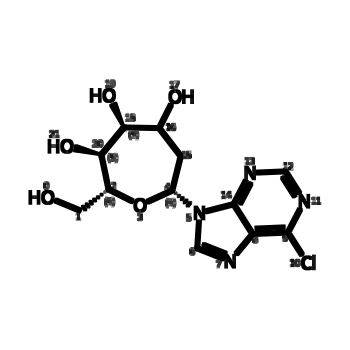 OC[C@H]1O[C@@H](n2cnc3c(Cl)ncnc32)CC(O)[C@H](O)[C@@H]1O